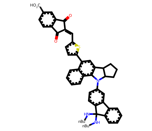 CCCCNC1(NCCCC)c2ccccc2-c2cc(N3c4c(cc(-c5ccc(/C=C6\C(=O)c7ccc(C(=O)O)cc7C6=O)s5)c5ccccc45)C4CCCC43)ccc21